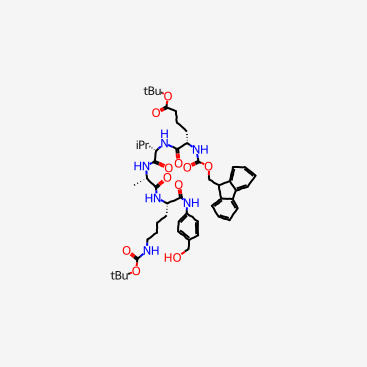 CC(C)[C@H](NC(=O)[C@H](CCCC(=O)OC(C)(C)C)NC(=O)OCC1c2ccccc2-c2ccccc21)C(=O)N[C@@H](C)C(=O)N[C@@H](CCCCNC(=O)OC(C)(C)C)C(=O)Nc1ccc(CO)cc1